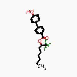 CCCCCCC(OC(=O)c1ccc(-c2ccc(O)cc2)cc1)C(F)(F)F